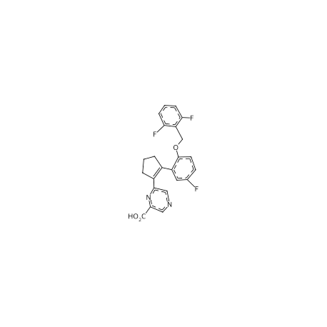 O=C(O)c1cncc(C2=C(c3cc(F)ccc3OCc3c(F)cccc3F)CCC2)n1